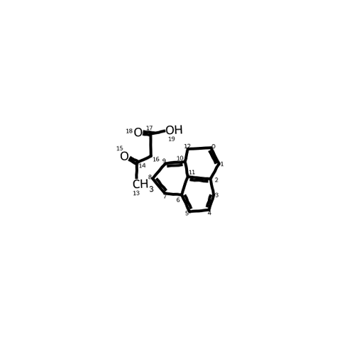 C1=Cc2cccc3cccc(c23)C1.CC(=O)CC(=O)O